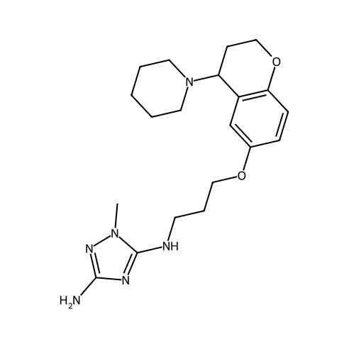 Cn1nc(N)nc1NCCCOc1ccc2c(c1)C(N1CCCCC1)CCO2